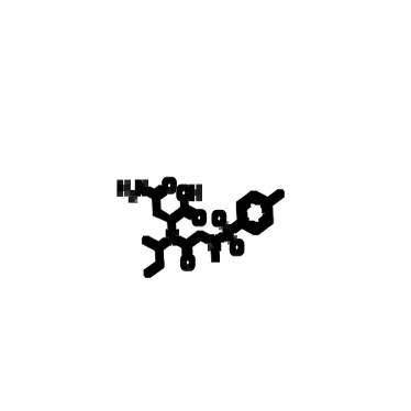 CCC(C)N(C(=O)CN(C)S(=O)(=O)c1ccc(C)cc1)[C@@H](CC(N)=O)C(=O)O